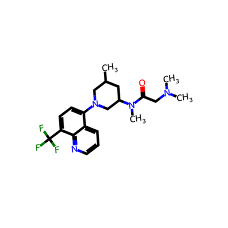 CC1CC(N(C)C(=O)CN(C)C)CN(c2ccc(C(F)(F)F)c3ncccc23)C1